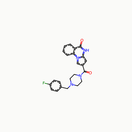 O=C(c1cc2[nH]c(=O)c3ccccc3n2c1)N1CCN(Cc2ccc(F)cc2)CC1